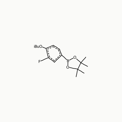 CC(C)COc1ccc(B2OC(C)(C)C(C)(C)O2)cc1F